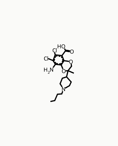 CCCCN1CCC(C2(C)COc3c(c(N)c(Cl)c(Cl)c3C(=O)O)O2)CC1